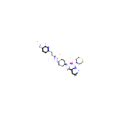 NCc1ccc(CCC(=O)NC2CCC(n3c(=O)c4cc(F)cnc4n(C4CCSCC4)c3=O)CC2)cc1